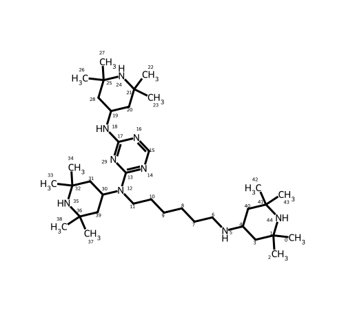 CC1(C)CC(NCCCCCCN(c2ncnc(NC3CC(C)(C)NC(C)(C)C3)n2)C2CC(C)(C)NC(C)(C)C2)CC(C)(C)N1